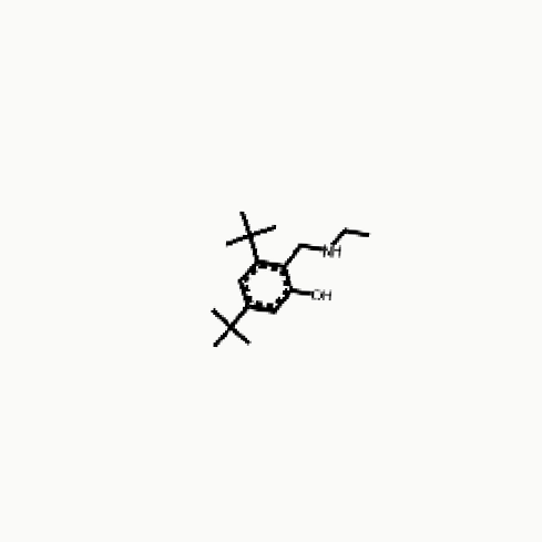 CCNCc1c(O)cc(C(C)(C)C)cc1C(C)(C)C